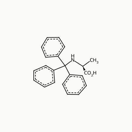 C[C@H](NC(c1ccccc1)(c1ccccc1)c1ccccc1)C(=O)O